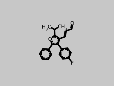 CC(C)c1oc(-c2ccccc2)c(-c2ccc(F)cc2)c1C=CC=O